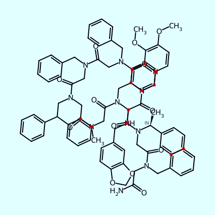 COc1ccc(CN(CC(=O)N(CC(=O)N(CC(=O)N(CC(=O)N(C)CC(=O)N(CC(=O)N(CC(=O)N(CC(N)=O)Cc2ccccc2)[C@@H](C)c2ccccc2)Cc2ccncc2)CC(c2ccccc2)c2ccccc2)Cc2ccccc2)Cc2ccccc2)C(=O)CNCc2ccc3c(c2)OCO3)cc1OC